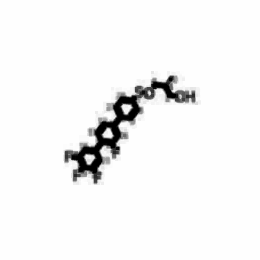 C[C@@H](CO)COSc1ccc(-c2ccc(-c3cc(F)c(F)c(F)c3)c(F)c2)cc1